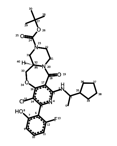 CC(Nc1nc(-c2c(O)cccc2F)c(Cl)c2c1C(=O)N1CCN(C(=O)OC(C)(C)C)C[C@@H]1CO2)C1CCCC1